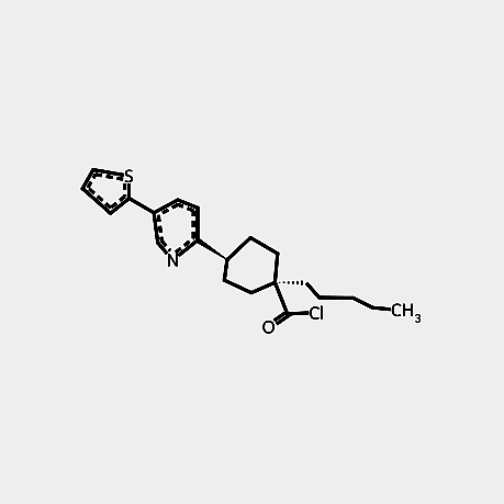 CCCCC[C@]1(C(=O)Cl)CC[C@@H](c2ccc(-c3cccs3)cn2)CC1